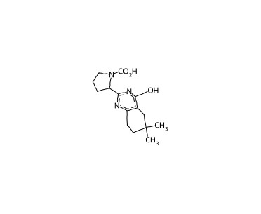 CC1(C)CCc2nc(C3CCCN3C(=O)O)nc(O)c2C1